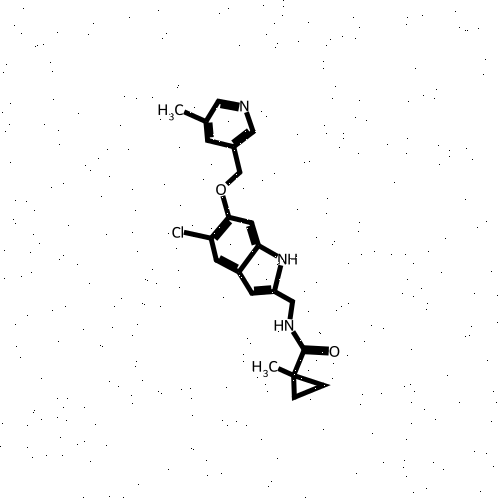 Cc1cncc(COc2cc3[nH]c(CNC(=O)C4(C)CC4)cc3cc2Cl)c1